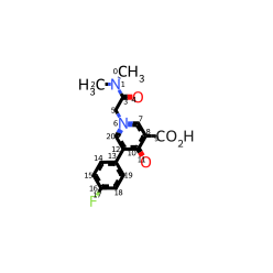 CN(C)C(=O)Cn1cc(C(=O)O)c(=O)c(-c2ccc(F)cc2)c1